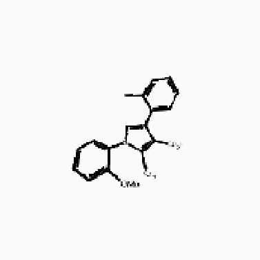 COc1ccccc1-n1cc(-c2ccccc2C)c(C(=O)O)c1C(F)(F)F